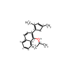 CC1=CC(C)=C(c2ccc3ccccc3c2OC(C)C)C1